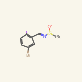 [CH2]C(C)(C)[S+]([O-])N=Cc1cc(Br)ccc1I